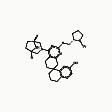 CC(C)N1CCC[C@H]1COc1nc2c(c(N3C[C@H]4CC[C@@H](C3)N4)n1)CCC1(CCCc3ccc(O)cc31)C2